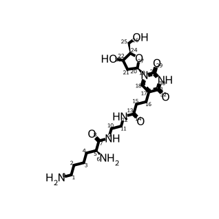 NCCCC[C@H](N)C(=O)NCCNC(=O)CCc1cn([C@H]2CC(O)[C@@H](CO)O2)c(=O)[nH]c1=O